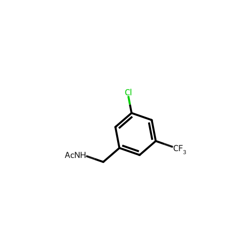 CC(=O)NCc1cc(Cl)cc(C(F)(F)F)c1